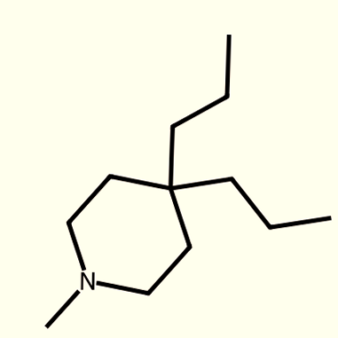 CCCC1(CCC)CCN(C)CC1